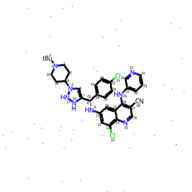 CC(C)(C)N1CCC(N2C=C([C@@H](Nc3cc(Cl)c4ncc(C#N)c(Nc5cccnc5)c4c3)c3ccc(Cl)cc3)NN2)CC1